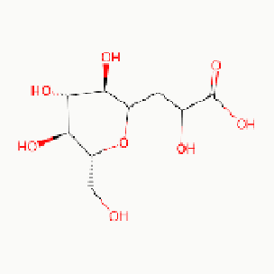 O=C(O)C(O)CC1O[C@H](CO)[C@@H](O)[C@H](O)[C@H]1O